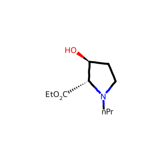 CCCN1CC[C@H](O)[C@H]1C(=O)OCC